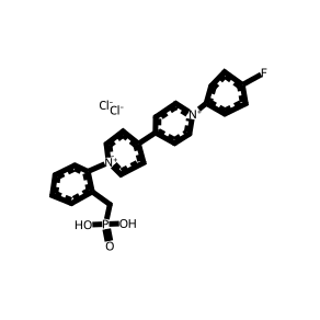 O=P(O)(O)Cc1ccccc1-[n+]1ccc(-c2cc[n+](-c3ccc(F)cc3)cc2)cc1.[Cl-].[Cl-]